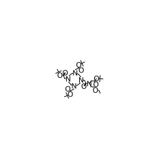 CCOCCN(CC(=O)OC(C)(C)C)C(=O)CN1CCN(CC(=O)OC(C)(C)C)CCN(CC(=O)OC(C)(C)C)CCN(CC(=O)OC(C)(C)C)CC1